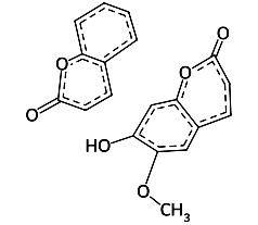 COc1cc2ccc(=O)oc2cc1O.O=c1ccc2ccccc2o1